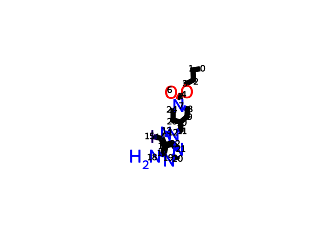 CCCCOC(=O)N1CCC(Cn2nc(I)c3c(N)ncnc32)CC1